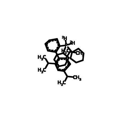 [2H]P([2H])(c1ccccc1-c1c(C(C)C)cc(C(C)C)cc1C(C)C)(C1CCCCC1)C1CCCCC1